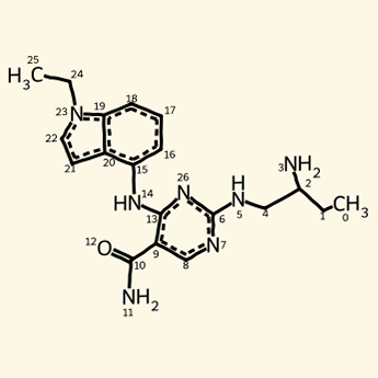 CCC(N)CNc1ncc(C(N)=O)c(Nc2cccc3c2ccn3CC)n1